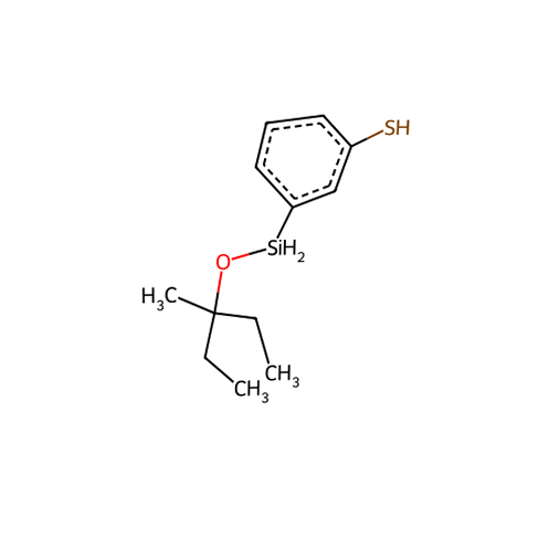 CCC(C)(CC)O[SiH2]c1cccc(S)c1